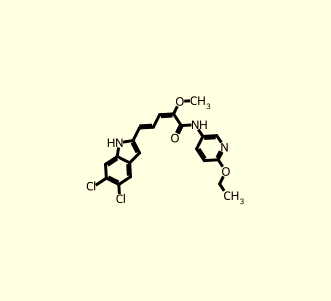 CCOc1ccc(NC(=O)/C(=C\C=C\c2cc3cc(Cl)c(Cl)cc3[nH]2)OC)cn1